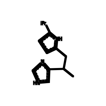 CC(C)c1ccc(CC(C)c2c[nH]cn2)[nH]1